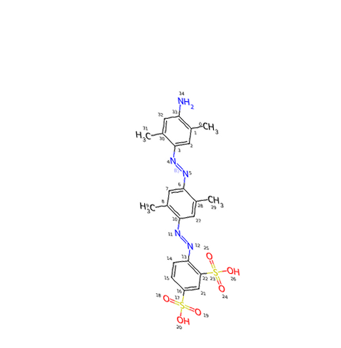 Cc1cc(/N=N/c2cc(C)c(N=Nc3ccc(S(=O)(=O)O)cc3S(=O)(=O)O)cc2C)c(C)cc1N